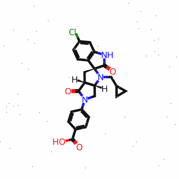 O=C(O)c1ccc(N2C[C@@H]3[C@@H](C[C@@]4(C(=O)Nc5cc(Cl)ccc54)N3CC3CC3)C2=O)cc1